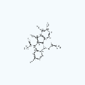 COCOc1ccc(F)cc1C(C(=O)O)N1Cc2ccc(Cl)c(F)c2C1=O